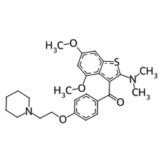 COc1cc(OC)c2c(C(=O)c3ccc(OCCN4CCCCC4)cc3)c(N(C)C)sc2c1